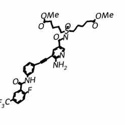 COC(=O)CCCCS(=O)(CCCCC(=O)OC)=NC(=O)c1cnc(N)c(C#Cc2cccc(NC(=O)c3cc(C(F)(F)F)ccc3F)c2)c1